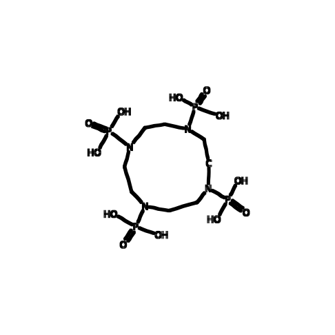 O=P(O)(O)N1CCN(P(=O)(O)O)CCN(P(=O)(O)O)CCN(P(=O)(O)O)CC1